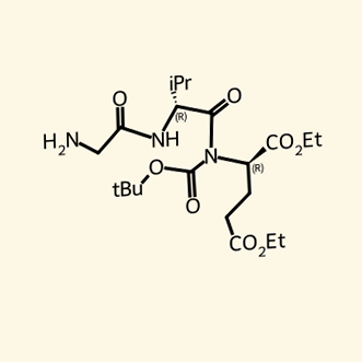 CCOC(=O)CC[C@H](C(=O)OCC)N(C(=O)OC(C)(C)C)C(=O)[C@H](NC(=O)CN)C(C)C